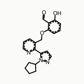 O=Cc1c(O)cccc1OCc1cccnc1-c1ccnn1C1CCCC1